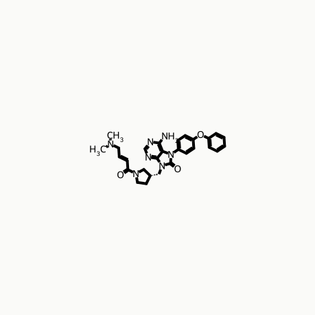 CN(C)CC=CC(=O)N1CC[C@@H](Cn2c(=O)n(-c3ccc(Oc4ccccc4)cc3)c3c(N)ncnc32)C1